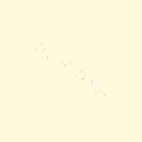 O=C(COc1ccc(/C=C/C(=O)c2ccccc2)cc1)NC1CCN(Cc2ccccc2)CC1